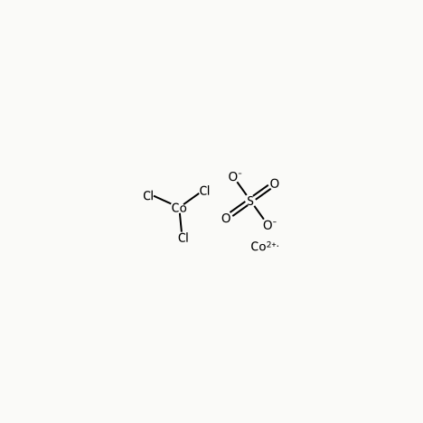 O=S(=O)([O-])[O-].[Cl][Co]([Cl])[Cl].[Co+2]